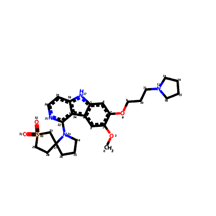 COc1cc2c(cc1OCCCN1CCCC1)[nH]c1ccnc(N3CCCC34CCS(=O)(=O)C4)c12